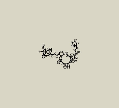 CCC(O)C(C)C1OC1CC(C)(O)/C=C/C=C(\C)C1OC(=O)CC(O)CCC(C)(OC)C(OC(=O)N(C)CCN2CCCC2)/C=C/C1C